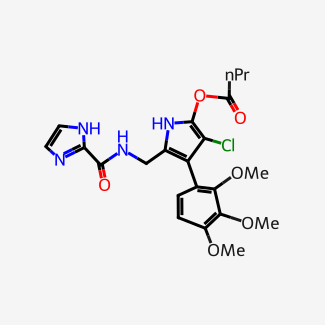 CCCC(=O)Oc1[nH]c(CNC(=O)c2ncc[nH]2)c(-c2ccc(OC)c(OC)c2OC)c1Cl